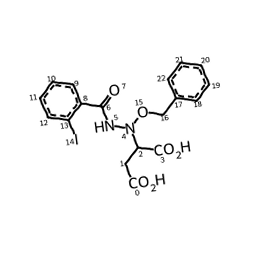 O=C(O)CC(C(=O)O)N(NC(=O)c1ccccc1I)OCc1ccccc1